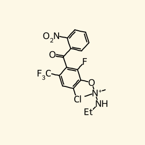 CCN[N+](C)(C)Oc1c(Cl)cc(C(F)(F)F)c(C(=O)c2ccccc2[N+](=O)[O-])c1F